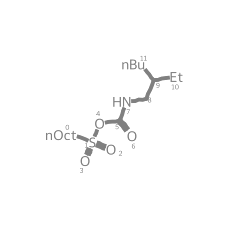 CCCCCCCCS(=O)(=O)OC(=O)NCC(CC)CCCC